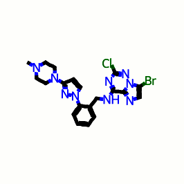 CN1CCN(c2ccn(-c3ccccc3CNc3nc(Cl)nn4c(Br)cnc34)n2)CC1